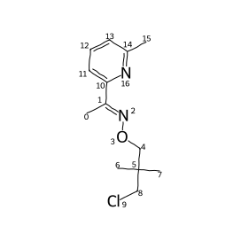 CC(=NOCC(C)(C)CCl)c1cccc(C)n1